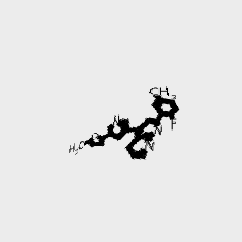 Cc1ccc(F)c(-c2cc(-c3cncc(-c4ccc(C)o4)c3)c3cccnc3n2)c1